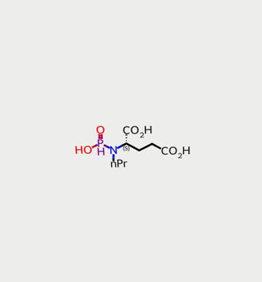 CCCN([C@@H](CCC(=O)O)C(=O)O)[PH](=O)O